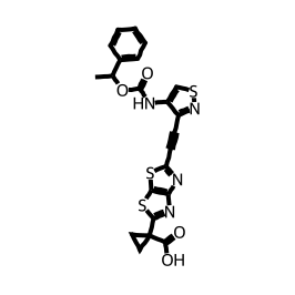 CC(OC(=O)Nc1csnc1C#Cc1nc2nc(C3(C(=O)O)CC3)sc2s1)c1ccccc1